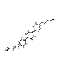 C=CCCCC1CCC(C2CCC(c3ccc(COCC=C)cc3)CC2)CC1